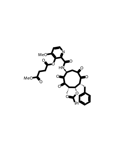 COC(=O)CCC(=O)Oc1c(OC)ccnc1C(=O)N[C@H]1CC(=O)C(=O)[C@H](Cc2ccccc2)[C@H](OC(=O)C(C)C)[C@H](C)C(=O)C1=O